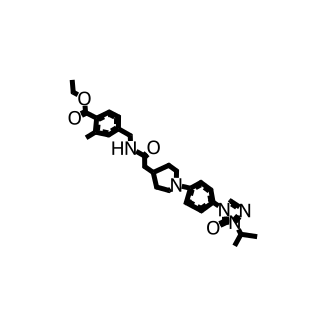 CCOC(=O)c1ccc(CNC(=O)CC2CCN(c3ccc(-n4cnn(C(C)C)c4=O)cc3)CC2)cc1C